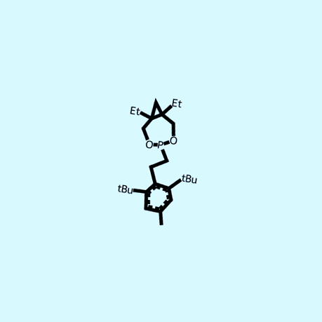 CCC12COP(CCc3c(C(C)(C)C)cc(C)cc3C(C)(C)C)OCC1(CC)C2